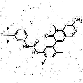 Cc1cc(F)c(NC(=O)Nc2cccc(C(F)(F)F)c2)cc1-c1cc2cnc(N)cc2n(C)c1=O